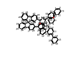 c1ccc(-c2ccc(N(c3ccc(-c4ccccc4)cc3)c3ccc(-c4ccc5c(c4)C4(c6ccccc6-5)c5ccccc5-c5ccc(-c6nc(-c7ccccc7)nc(-c7ccccc7)n6)cc54)cc3)cc2)cc1